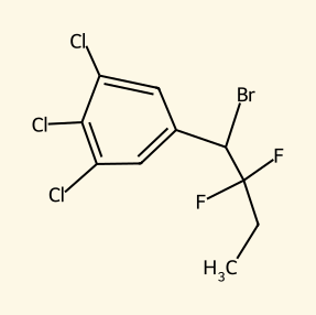 CCC(F)(F)C(Br)c1cc(Cl)c(Cl)c(Cl)c1